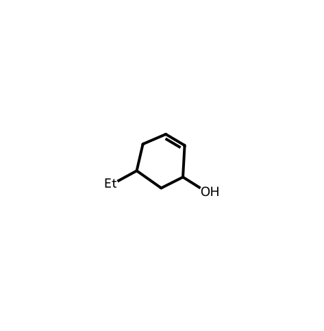 CCC1CC=CC(O)C1